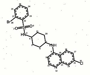 O=S(=O)(NC1CCC(Nc2ccnc3cc(Cl)ccc23)CC1)c1ccccc1Br